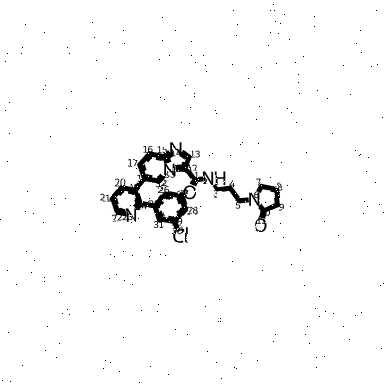 O=C(NCCCN1CCCC1=O)c1cnc2ccc(-c3cccnc3-c3cccc(Cl)c3)cn12